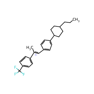 CCCC1CCC(c2ccc(/C=C(\C)c3ccc(C(F)(F)F)cc3)cc2)CC1